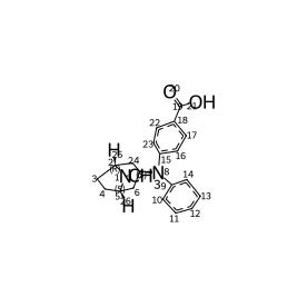 CN1[C@@H]2CC[C@H]1C[C@H](N(c1ccccc1)c1ccc(C(=O)O)cc1)C2